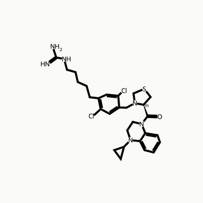 N=C(N)NCCCCCc1cc(Cl)c(CN2CSC[C@H]2C(=O)N2CCN(C3CC3)c3ccccc32)cc1Cl